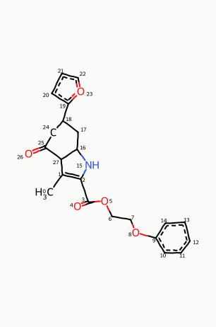 CC1=C(C(=O)OCCOc2ccccc2)NC2CC(c3ccco3)CC(=O)C12